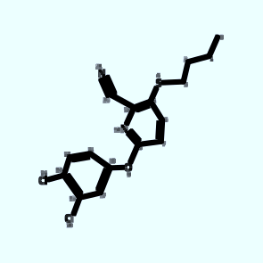 CCCCSc1ccc(Oc2ccc(Cl)c(Cl)c2)nc1C#N